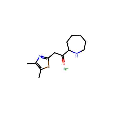 CC1=C(C)SC(CC(=O)C2CCCCCN2)=[N+]1.[Br-]